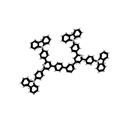 c1cc(-c2ccc(-c3cc(-c4ccc(-n5c6ccccc6c6ccccc65)cc4)nc(-c4ccc(-n5c6ccccc6c6ccccc65)cc4)c3)cc2)cc(-c2cc(-c3ccc(-n4c5ccccc5c5ccccc54)cc3)nc(-c3ccc(-n4c5ccccc5c5ccccc54)cc3)c2)c1